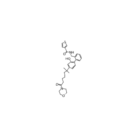 CC(C)(CCCCC(=O)N1CCOCC1)c1ccc(-c2ccccc2CNC(=O)c2ccsc2)c(O)c1